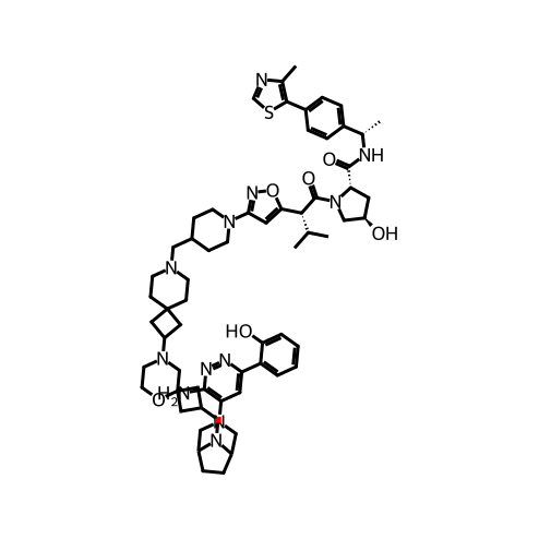 Cc1ncsc1-c1ccc([C@H](C)NC(=O)[C@@H]2C[C@@H](O)CN2C(=O)[C@@H](c2cc(N3CCC(CN4CCC5(CC4)CC(N4CCOC6(CC(CN7C8CCC7CN(c7cc(-c9ccccc9O)nnc7N)C8)C6)C4)C5)CC3)no2)C(C)C)cc1